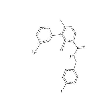 Cc1ccc(C(=O)NCc2ccc(F)cc2)c(=O)n1-c1cccc(C(F)(F)F)c1